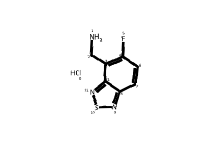 Cl.NCc1c(F)ccc2nsnc12